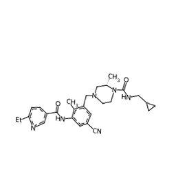 CCc1ccc(C(=O)Nc2cc(C#N)cc(CN3CCN(C(=O)NCC4CC4)[C@@H](C)C3)c2C)cn1